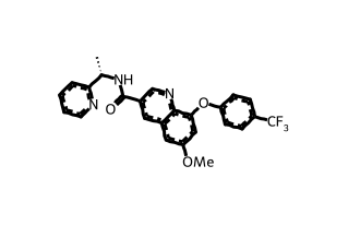 COc1cc(Oc2ccc(C(F)(F)F)cc2)c2ncc(C(=O)N[C@@H](C)c3ccccn3)cc2c1